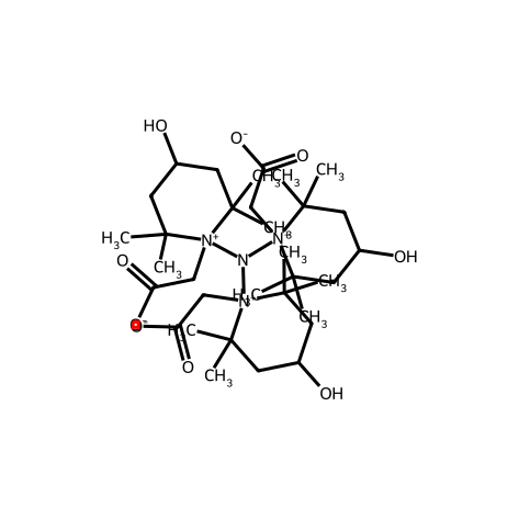 CC1(C)CC(O)CC(C)(C)[N+]1(CC(=O)[O-])N([N+]1(CC(=O)[O-])C(C)(C)CC(O)CC1(C)C)[N+]1(CC(=O)[O-])C(C)(C)CC(O)CC1(C)C